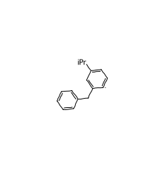 CC(C)c1cc[c]c(Cc2ccccc2)c1